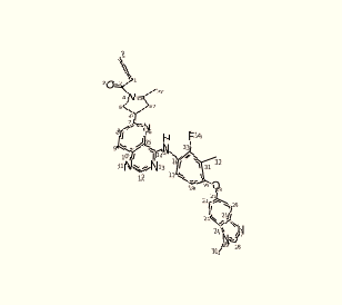 C=CC(=O)N1CC(c2ccc3ncnc(Nc4ccc(Oc5ccc6c(c5)ncn6C)c(C)c4F)c3n2)CC1C